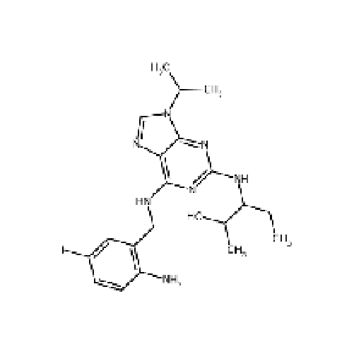 CCC(Nc1nc(NCc2cc(I)ccc2N)c2ncn(C(C)C)c2n1)C(C)O